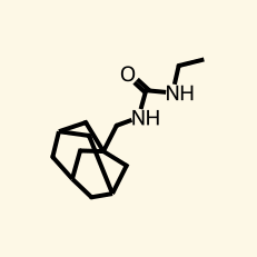 CCNC(=O)NCC12CC3CC(CC(C3)C1)C2